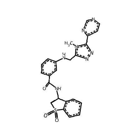 Cn1c(CNc2cccc(C(=O)NC3CS(=O)(=O)c4ccccc43)c2)nnc1-c1ccncn1